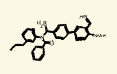 BC(c1ccc(-c2ccc(NC)c(C=N)c2)cc1)N(C(=O)c1ccccc1)c1cccc(/C=C/C)c1